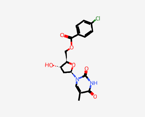 Cc1cn([C@H]2C[C@H](O)[C@@H](COC(=O)c3ccc(Cl)cc3)O2)c(=O)[nH]c1=O